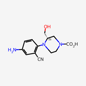 N#Cc1cc(N)ccc1N1CCN(C(=O)O)C[C@H]1CO